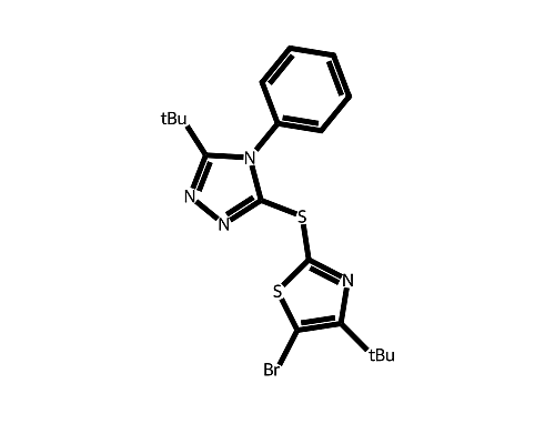 CC(C)(C)c1nc(Sc2nnc(C(C)(C)C)n2-c2ccccc2)sc1Br